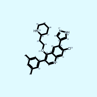 Cc1cc(C)cc(-c2cnc3cc(Cl)c(-c4cn[nH]c4)cc3c2OCCC2CCCCN2)c1